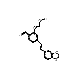 COCOc1cc(CCc2ccc3c(c2)OCO3)ccc1C=O